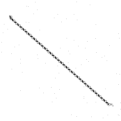 COCCOCCOCCOCCOCCOCCOCCOCCOCCOCCOCCOCCOCCOCCOCCOCCOCCOCCOCCOCCOCCOCCOCCOCCOCCOCCOCCOCCOCCOCCOCCOCCOCCOCCOCCOCCN=[N+]=[N-]